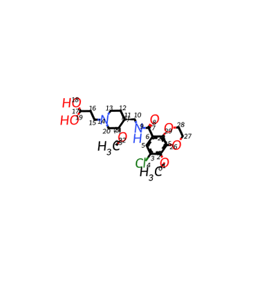 COc1c(Cl)cc(C(=O)NC[C@@H]2CCN(CCC(O)O)C[C@H]2OC)c2c1OCCO2